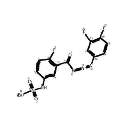 CCC(C)S(=O)(=O)Nc1ccc(F)c(C(=O)N=[N+]=Nc2ccc(F)c(F)c2)c1